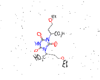 CCOCCC(C(=O)O)n1c(=O)[nH]c(=O)n(C(CCOCC)C(=O)O)c1=O